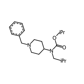 CC(C)CN(C(=O)OC(C)C)C1CCN(Cc2ccccc2)CC1